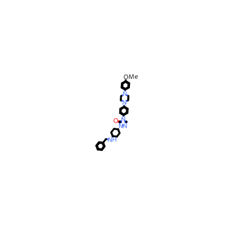 COc1ccc(N2CCN(c3ccc(-n4cnn([C@H]5CC[C@H](NCc6ccccc6)CC5)c4=O)cc3)CC2)cc1